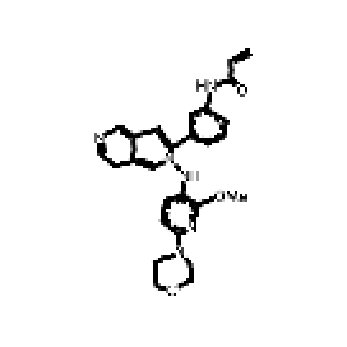 C=CC(=O)Nc1cccc(C2=CC3=CN=CCC3=CN2Nc2ccc(N3CCOCC3)nc2OC)c1